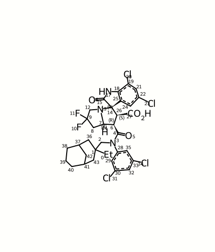 CCC1(CN(C(=O)[C@H]2[C@H]3CC(F)(F)CN3[C@]3(C(=O)Nc4c(Cl)cc(Cl)cc43)[C@H]2C(=O)O)c2cc(Cl)cc(Cl)c2)CC2CCCC(C2)C1